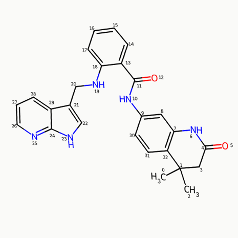 CC1(C)CC(=O)Nc2cc(NC(=O)c3ccccc3NCc3c[nH]c4ncccc34)ccc21